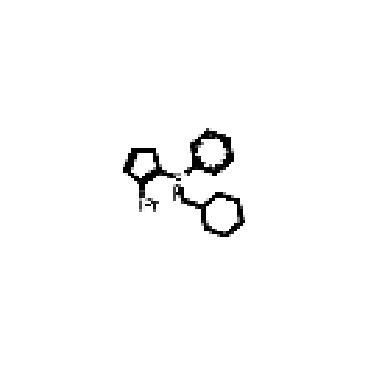 CC(C)C1=C([SiH](CC2CCCCC2)c2ccccc2)CC=C1